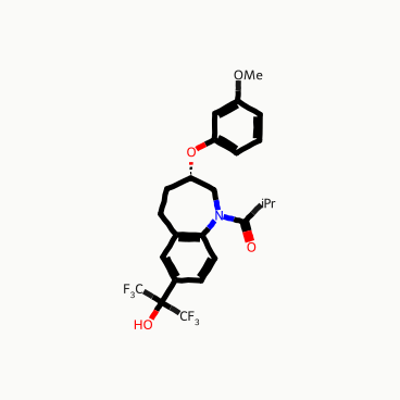 COc1cccc(O[C@H]2CCc3cc(C(O)(C(F)(F)F)C(F)(F)F)ccc3N(C(=O)C(C)C)C2)c1